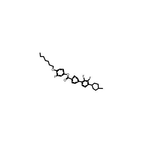 CCCCCCCOc1ccc(OC(=O)c2ccc(-c3ccc(C4CCC(C)CC4)c(F)c3F)cc2)cc1F